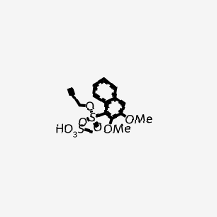 C#CCOS(=O)(=O)c1c(OC)c(OC)cc2ccccc12.CS(=O)(=O)O